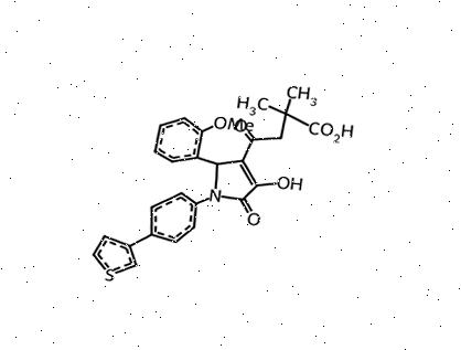 COc1ccccc1C1C(C(=O)CC(C)(C)C(=O)O)=C(O)C(=O)N1c1ccc(-c2ccsc2)cc1